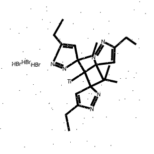 Br.Br.Br.CCC1=CC(CC)([C]([Ti])(C2(CC)C=C(CC)N=N2)C2(CC)C=C(CC)N=N2)N=N1